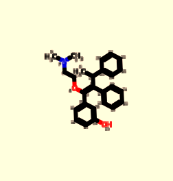 CC(C(=C(OCCN(C)C)c1cccc(O)c1)c1ccccc1)c1ccccc1